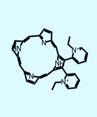 CC[n+]1ccccc1-c1c(-c2cccc[n+]2CC)c2cc3nc(cc4ccc(cc5nc(cc1[nH]2)C=C5)[nH]4)C=C3